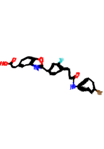 O=C(O)Cc1ccc2oc(-c3ccc(C=CC(=O)Nc4ccc(Br)cc4)c(F)c3)nc2c1